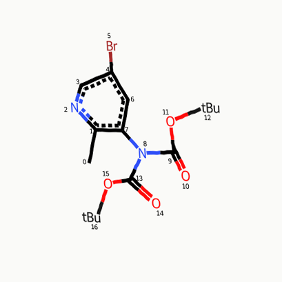 Cc1ncc(Br)cc1N(C(=O)OC(C)(C)C)C(=O)OC(C)(C)C